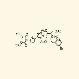 CC(=O)OCC1O[C@H](Sc2cc(Br)cnc2C#N)C(OC(C)=O)C(n2cc(-c3csc(N(C(=O)OC(C)(C)C)C(=O)OC(C)(C)C)n3)nn2)[C@H]1OC(C)=O